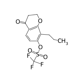 CCCc1c(OS(=O)(=O)C(F)(F)F)ccc2c1OCCC2=O